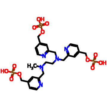 CN(CCN(Cc1cc(COS(=O)(=O)O)ccn1)Cc1cc(COS(=O)(=O)O)ccn1)Cc1cc(COS(=O)(=O)O)ccn1